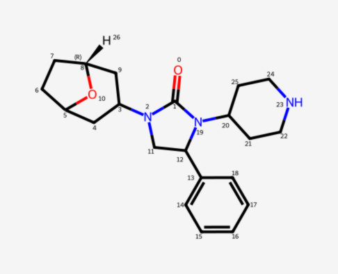 O=C1N(C2CC3CC[C@H](C2)O3)CC(c2ccccc2)N1C1CCNCC1